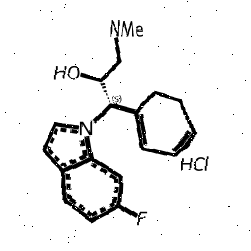 CNCC(O)[C@H](C1=CC=CCC1)n1ccc2ccc(F)cc21.Cl